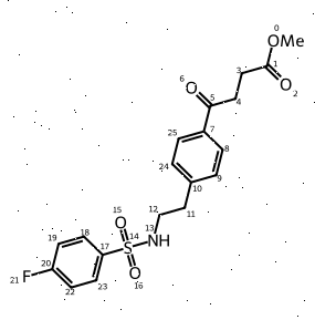 COC(=O)CCC(=O)c1ccc(CCNS(=O)(=O)c2ccc(F)cc2)cc1